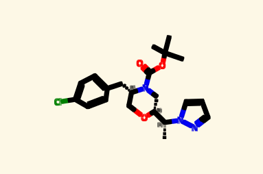 C[C@H]([C@H]1CN(C(=O)OC(C)(C)C)[C@@H](Cc2ccc(Cl)cc2)CO1)n1cccn1